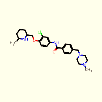 CC1CCCC(COc2ccc(NC(=O)c3ccc(CN4CCN(C)CC4)cc3)cc2Cl)N1